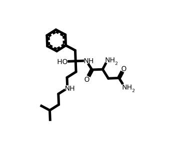 CC(C)CCNCCC(O)(Cc1ccccc1)NC(=O)C(N)CC(N)=O